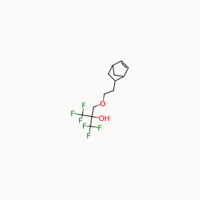 OC(COCCC1CC2C=CC1C2)(C(F)(F)F)C(F)(F)F